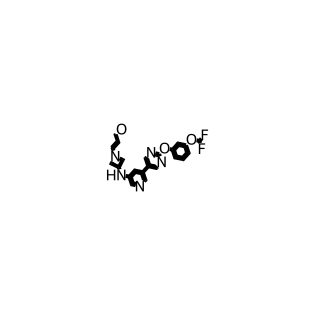 O=CC=CN1CC(Nc2cncc(-c3cnc(Oc4cccc(OC(F)F)c4)nc3)c2)C1